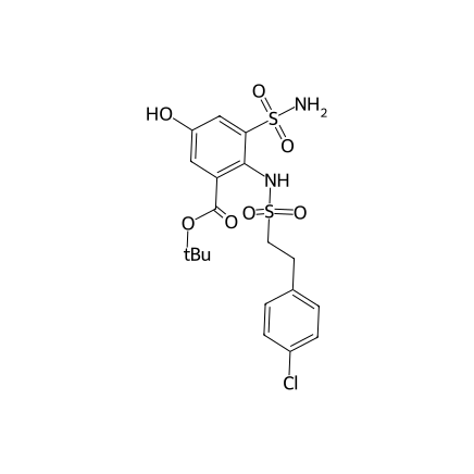 CC(C)(C)OC(=O)c1cc(O)cc(S(N)(=O)=O)c1NS(=O)(=O)CCc1ccc(Cl)cc1